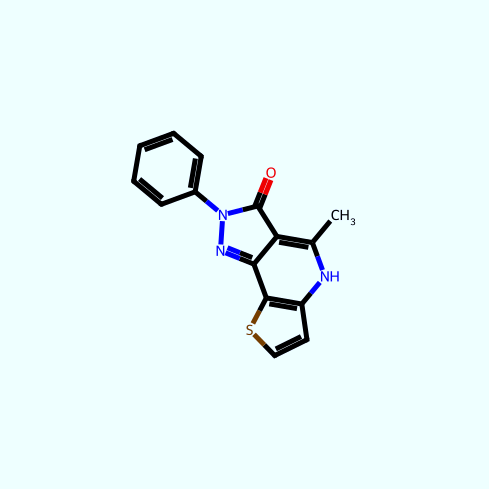 Cc1[nH]c2ccsc2c2nn(-c3ccccc3)c(=O)c1-2